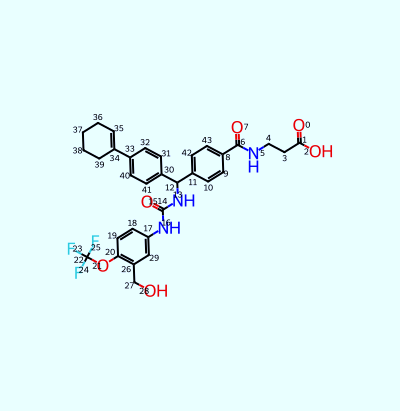 O=C(O)CCNC(=O)c1ccc(C(NC(=O)Nc2ccc(OC(F)(F)F)c(CO)c2)c2ccc(C3=CCCCC3)cc2)cc1